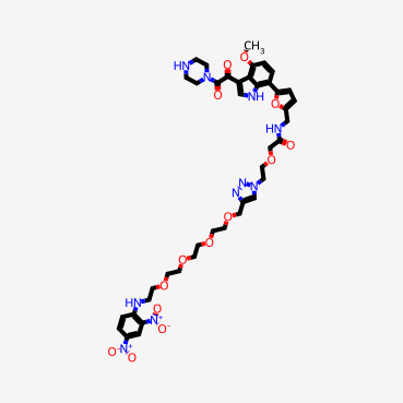 COc1ccc(-c2ccc(CNC(=O)COCCn3cc(COCCOCCOCCOCCNc4ccc([N+](=O)[O-])cc4[N+](=O)[O-])nn3)o2)c2[nH]cc(C(=O)C(=O)N3CCNCC3)c12